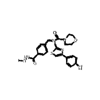 O=C(NOI)c1ccc(CN(C(=O)N2CCOCC2)c2nc(-c3ccc(Cl)cc3)cs2)cc1